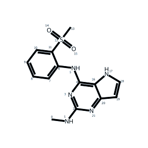 CNc1nc(Nc2ccccc2S(C)(=O)=O)c2[nH]ccc2n1